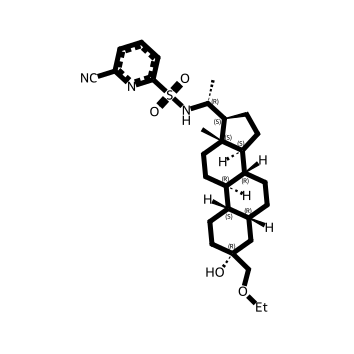 CCOC[C@@]1(O)CC[C@H]2[C@H](CC[C@@H]3[C@@H]2CC[C@]2(C)[C@@H]([C@@H](C)NS(=O)(=O)c4cccc(C#N)n4)CC[C@@H]32)C1